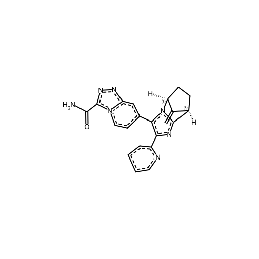 C=C1[C@H]2CC[C@@H]1n1c2nc(-c2ccccn2)c1-c1ccn2c(C(N)=O)nnc2c1